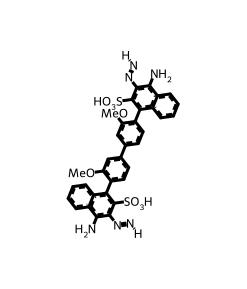 [H]/N=N/c1c(S(=O)(=O)O)c(-c2ccc(-c3ccc(-c4c(S(=O)(=O)O)c(/N=N/[H])c(N)c5ccccc45)c(OC)c3)cc2OC)c2ccccc2c1N